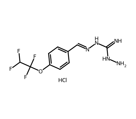 Cl.N=C(NN)NN=Cc1ccc(OC(F)(F)C(F)F)cc1